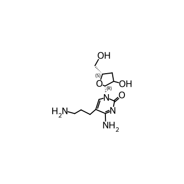 NCCCc1cn([C@@H]2O[C@H](CO)CC2O)c(=O)nc1N